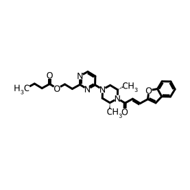 CCCC(=O)OCCc1nccc(N2C[C@@H](C)N(C(=O)C=Cc3cc4ccccc4o3)[C@@H](C)C2)n1